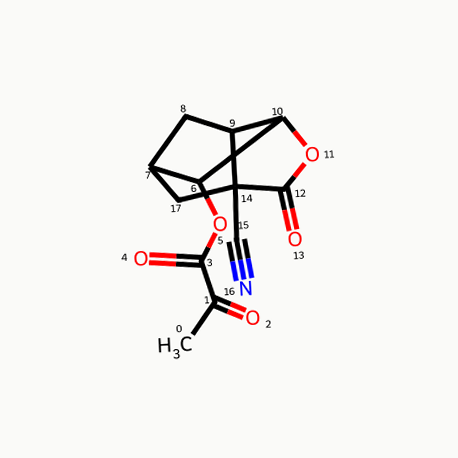 CC(=O)C(=O)OC1C2CC3C1OC(=O)C3(C#N)C2